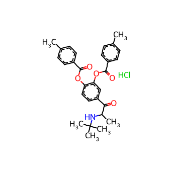 Cc1ccc(C(=O)Oc2ccc(C(=O)C(C)NC(C)(C)C)cc2OC(=O)c2ccc(C)cc2)cc1.Cl